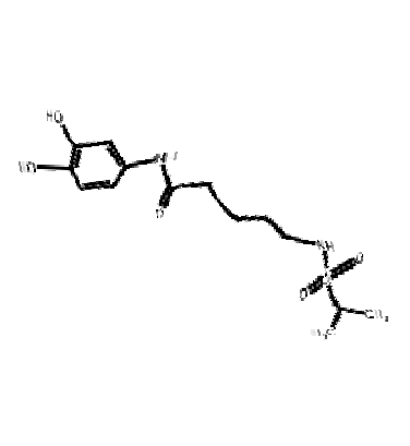 CC(C)S(=O)(=O)NCCCCC(=O)Nc1ccc(O)c(O)c1